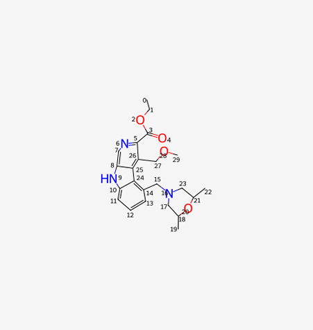 CCOC(=O)c1ncc2[nH]c3cccc(CN4CC(C)OC(C)C4)c3c2c1COC